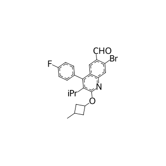 CC1CC(Oc2nc3cc(Br)c(C=O)cc3c(-c3ccc(F)cc3)c2C(C)C)C1